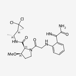 CO[C@@H]1CCN(C(=O)CNc2ccccc2C(=N)C(N)=O)[C@@H]1C(=O)N[C@H](C)[C@H]1CC1(Cl)Cl